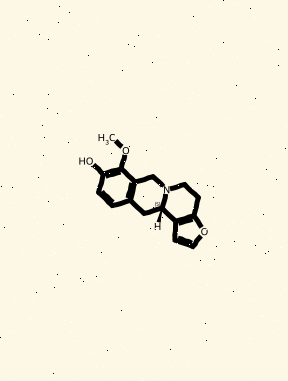 COc1c(O)ccc2c1CN1CCc3occc3[C@@H]1C2